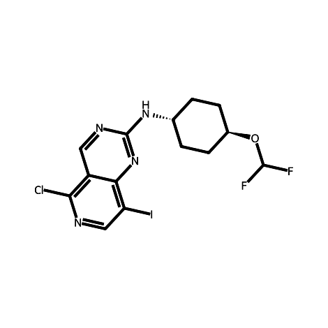 FC(F)O[C@H]1CC[C@H](Nc2ncc3c(Cl)ncc(I)c3n2)CC1